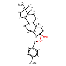 COc1ccc(COC2(O)CCC3(C)C(=CCC4C3CCC3(C)C4CCC3(OC)C(C)=O)C2)cc1